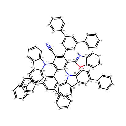 N#Cc1c(-c2cc(-c3ccccc3)cc(-c3ccccc3)c2)c(-c2nc3ccccc3o2)c(-n2c3ccccc3c3cc(-c4ccccc4)ccc32)c(-c2cc(-c3ccccc3)cc(-c3ccccc3)c2)c1-n1c2ccccc2c2cc(-c3ccccc3)ccc21